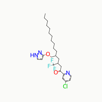 CCCCCCCCCCCC(COc1cc[nH]n1)CC(CC(=O)c1cc(Cl)ccn1)C(F)(F)F